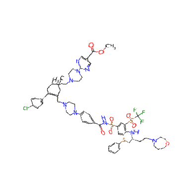 COC(=O)c1cnc(N2CCN(CC3(C)CCC(c4ccc(Cl)cc4)=C(CN4CCN(c5ccc(C(=O)NS(=O)(=O)c6ccc(NC(CCN7CCCOCC7)CSc7ccccc7)c(S(=O)(=O)C(F)(F)F)c6)cc5)CC4)C3)CC2)nc1